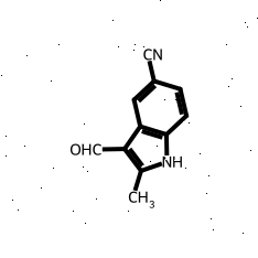 Cc1[nH]c2ccc(C#N)cc2c1C=O